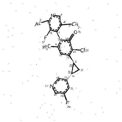 CC(=O)c1ncc(C)c(-n2c(C)cc([C@H]3C[C@@H]3c3cncc(F)c3)c(Cl)c2=O)c1F